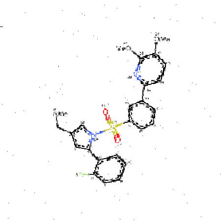 CNCc1cc(-c2ccccc2F)n(S(=O)(=O)c2cccc(-c3ccc(OC)c(OC)n3)c2)c1